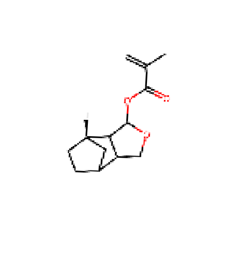 C=C(C)C(=O)OC1OCC2C3CC[C@@H](C3)C12